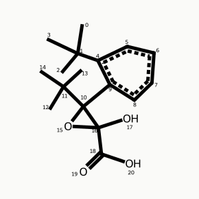 CC(C)(C)c1ccccc1C1(C(C)(C)C)OC1(O)C(=O)O